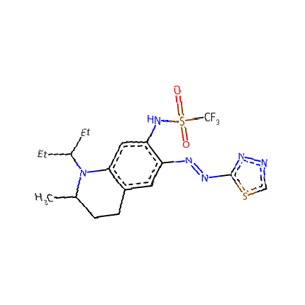 CCC(CC)N1c2cc(NS(=O)(=O)C(F)(F)F)c(N=Nc3nncs3)cc2CCC1C